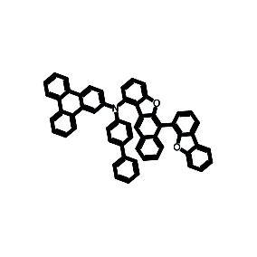 c1ccc(-c2ccc(N(c3ccc4c5ccccc5c5ccccc5c4c3)c3cccc4oc5c(-c6cccc7c6oc6ccccc67)c6ccccc6cc5c34)cc2)cc1